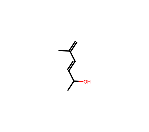 C=C(C)C=CC(C)O